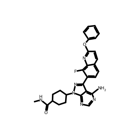 CNC(=O)C1CCC(n2nc(-c3ccc4ccc(Oc5ccccc5)nc4c3F)c3c(N)ncnc32)CC1